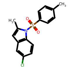 Cc1ccc(S(=O)(=O)n2c(C)cc3cc(Cl)ccc32)cc1